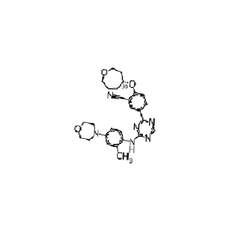 Cc1cc(N2CCOCC2)ccc1Nc1ncnc(-c2ccc(O[C@@H]3CCCOCC3)c(C#N)c2)n1